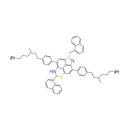 CC(C)CCCC(C)CCc1ccc(-c2cc3c4c(c(-c5ccc(CCC(C)CCCC(C)C)cc5)cc5c4c2N=S5Cc2cccc4ccccc24)NC(c2cccc4ccccc24)S3)cc1